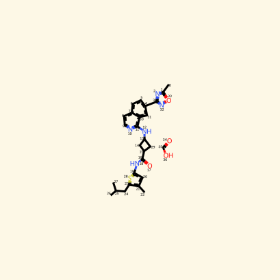 Cc1nc(-c2ccc3ccnc(NC4CC(C(=O)Nc5cc(C)c(CC(C)C)s5)C4)c3c2)no1.O=CO